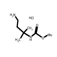 CC(C)(CCN)NC(=O)OC(C)(C)C.Cl